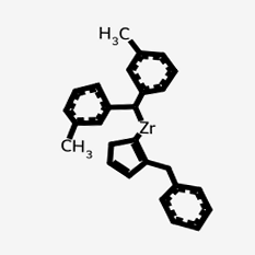 Cc1cccc([CH]([Zr][C]2=C(Cc3ccccc3)C=CC2)c2cccc(C)c2)c1